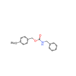 COc1ccc(COC(=O)NCc2ccccc2)cc1